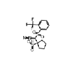 [N-]=[N+]=C(C1([SH](=O)=O)CCCC1)S(=O)(=O)c1ccccc1C(F)(F)F